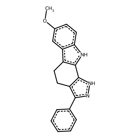 COc1ccc2[nH]c3c(c2c1)CCc1c(-c2ccccc2)n[nH]c1-3